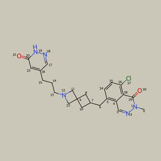 Cn1ncc2c(CC3CC4(C3)CN(CCCc3cn[nH]c(=O)c3)C4)ccc(Cl)c2c1=O